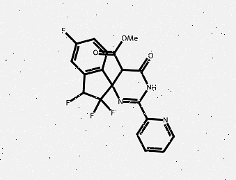 COC(=O)C1C(=O)NC(c2ccccn2)=NC12c1ccc(F)cc1C(F)C2(F)F